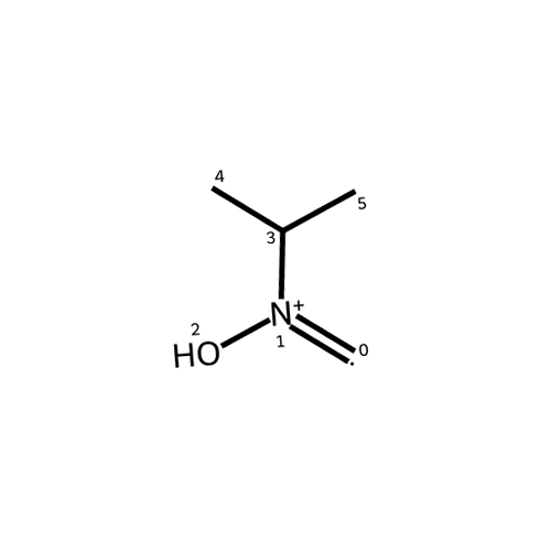 [CH]=[N+](O)C(C)C